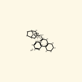 CCC[N+]1(C)C2CCC1CC(OC(=O)CC1=C(c3ccccc3)CCCC1)C2.[I-]